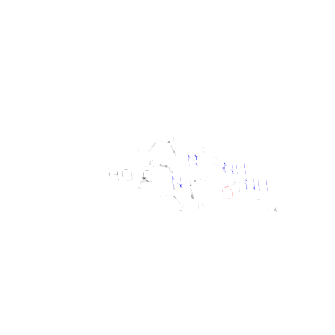 O=C(NC1CC1)NC1CN(c2cccc(C(=O)O)c2-n2cccc2)C1